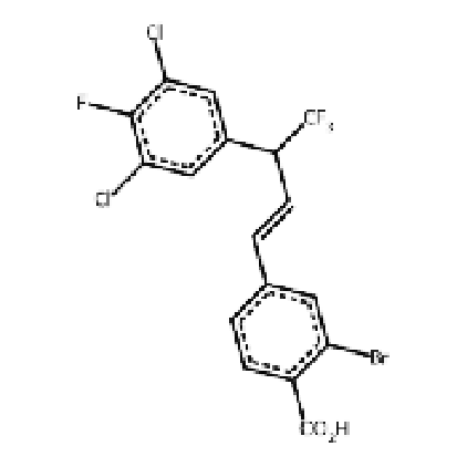 O=C(O)c1ccc(C=CC(c2cc(Cl)c(F)c(Cl)c2)C(F)(F)F)cc1Br